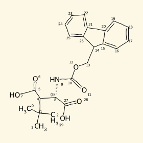 CC(C)(C)C(C(=O)O)[C@H](NC(=O)OCC1c2ccccc2-c2ccccc21)C(=O)O